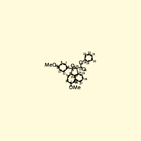 COc1ccc(C2(c3ccc(OC)cc3)OC2(C(=O)Oc2ccccc2)c2ccccc2)cc1